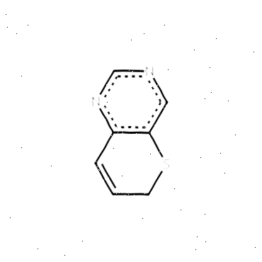 C1=Cc2ncncc2SC1